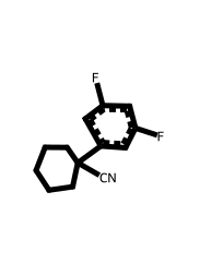 N#CC1(c2cc(F)cc(F)c2)CCCCC1